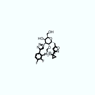 CC1(c2cc(C[C@H]3O[C@H](CO)[C@H](O)[C@H](n4cc(-c5ccc(F)c(F)c5F)nn4)[C@H]3OCC(=O)O)on2)CC1